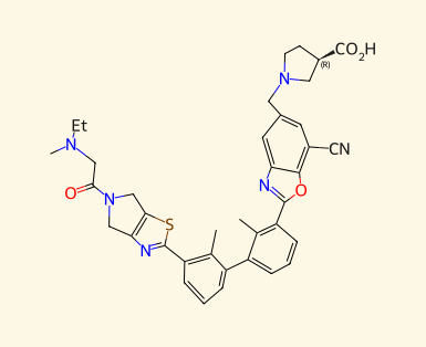 CCN(C)CC(=O)N1Cc2nc(-c3cccc(-c4cccc(-c5nc6cc(CN7CC[C@@H](C(=O)O)C7)cc(C#N)c6o5)c4C)c3C)sc2C1